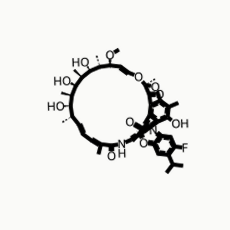 CO[C@H]1/C=C/O[C@@]2(C)Oc3c(C)c(O)c4c(=O)c(c5oc6cc(C(C)C)c(F)cc6nc-5c4c3C2=O)NC(=O)/C(C)=C\C=C\[C@H](C)[C@H](O)[C@@H](C)[C@@H](O)[C@@H](C)[C@H](O)[C@@H]1C